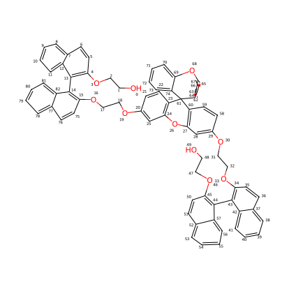 OCCOc1ccc2ccccc2c1-c1c(OCCOc2ccc3c(c2)Oc2cc(OCCOc4ccc5ccccc5c4-c4c(OCCO)ccc5ccccc45)ccc2C32c3ccccc3Oc3ccccc32)ccc2ccccc12